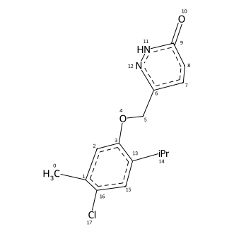 Cc1cc(OCc2ccc(=O)[nH]n2)c(C(C)C)cc1Cl